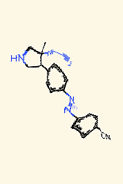 CC1(N)CNCC1c1ccc(/N=N/c2ccc(C#N)cc2)cc1